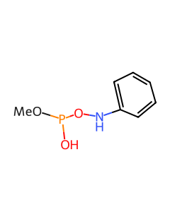 COP(O)ONc1ccccc1